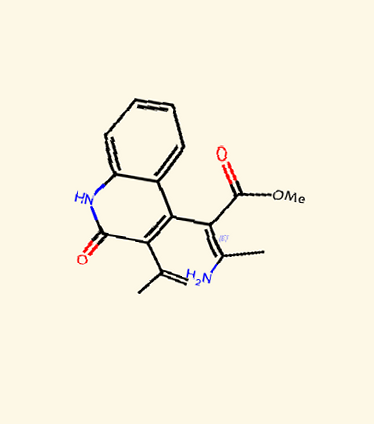 C=C(C)c1c(/C(C(=O)OC)=C(/C)N)c2ccccc2[nH]c1=O